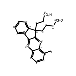 Cc1cccc2nc3c(nc12)C(CCOC=O)(CCC(=O)O)c1ccccc1-3